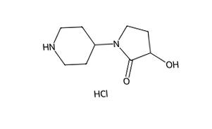 Cl.O=C1C(O)CCN1C1CCNCC1